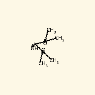 CCCCCCCCCCN(CCCCCCCCCC)C(=O)CCCCCCCN(CCCCCCCC(=O)N(CCCCCCCCCC)CCCCCCCCCC)C[C@@H]1CC[C@H](O)C1